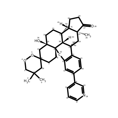 CC1(C)COOC2(CC[C@@]34Cc5cc(-c6cccnc6)ccc5[C@H]5C[C@]6(C)C(=O)CC[C@H]6[C@H](CC[C@@]3(O)C2)[C@H]54)C1